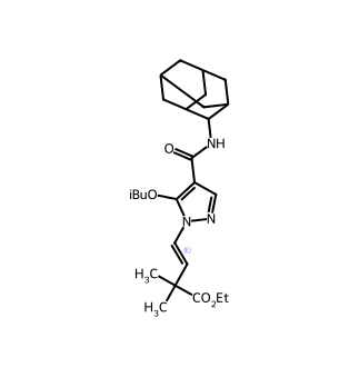 CCOC(=O)C(C)(C)/C=C/n1ncc(C(=O)NC2C3CC4CC(C3)CC2C4)c1OCC(C)C